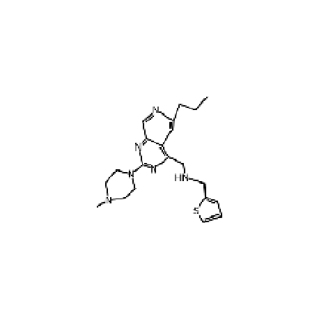 CCCc1cc2c(CNCc3cccs3)nc(N3CCN(C)CC3)nc2cn1